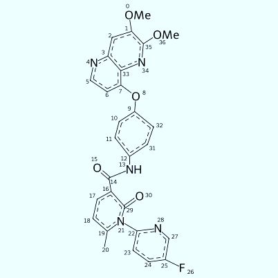 COc1cc2nccc(Oc3ccc(NC(=O)c4ccc(C)n(-c5ccc(F)cn5)c4=O)cc3)c2nc1OC